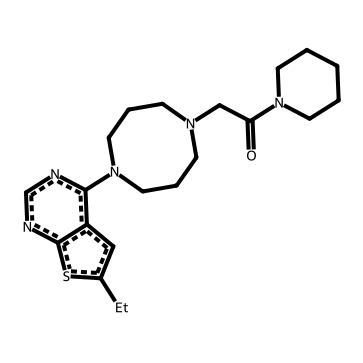 CCc1cc2c(N3CCCN(CC(=O)N4CCCCC4)CCC3)ncnc2s1